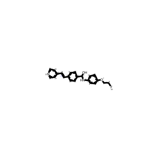 OC(Nc1ccc(OCCF)cc1)c1ccc(/C=C/c2ccncc2)cc1